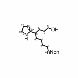 CCCCCCCCCCCCCC(CCCO)C1=NCCN1